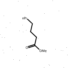 [CH2]OC(=O)CCCCCC